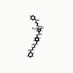 CC1(NCCCNC2CCCCC2)N=C(NCc2ccc(CNCCCNC3CCCCC3)cc2)C=C1Cl